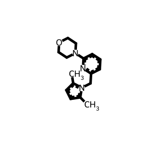 Cc1ccc(C)n1Cc1cccc(N2CCOCC2)n1